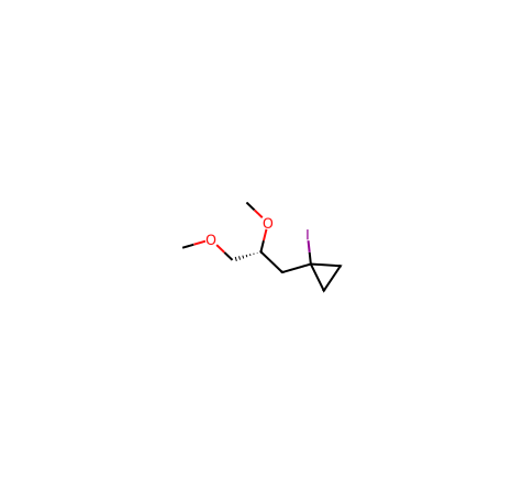 COC[C@@H](CC1(I)CC1)OC